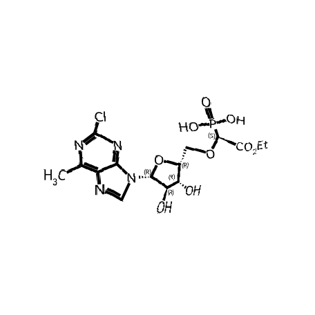 CCOC(=O)[C@@H](OC[C@H]1O[C@@H](n2cnc3c(C)nc(Cl)nc32)[C@H](O)[C@H]1O)P(=O)(O)O